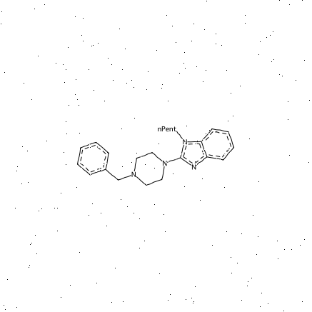 CCCCCn1c(N2CCN(Cc3ccccc3)CC2)nc2ccccc21